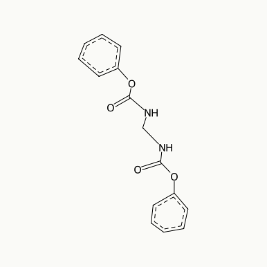 O=C(NCNC(=O)Oc1ccccc1)Oc1ccccc1